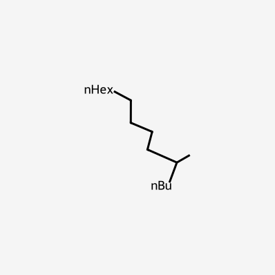 CC[CH]CC(C)CCCCCCCCCC